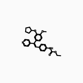 CCOC(=O)Nc1ccc(C=C(c2ccncc2)c2ccc(OC)c(OC3CCCC3)c2)cc1